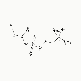 CC1(CCOS(=O)(=O)NC(=O)CI)N=N1